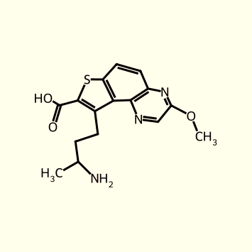 COc1cnc2c(ccc3sc(C(=O)O)c(CCC(C)N)c32)n1